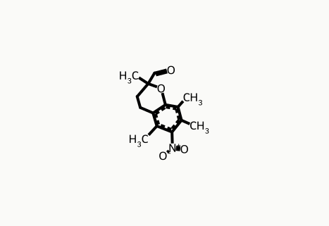 Cc1c(C)c([N+](=O)[O-])c(C)c2c1OC(C)(C=O)CC2